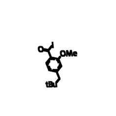 COc1cc(CC(C)(C)C)ccc1C(=O)I